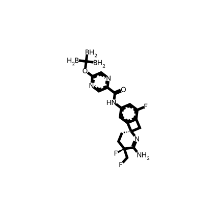 BC(B)(B)Oc1cnc(C(=O)Nc2cc(F)c3c(c2)[C@@]2(CC[C@@](F)(CF)C(N)=N2)C3)cn1